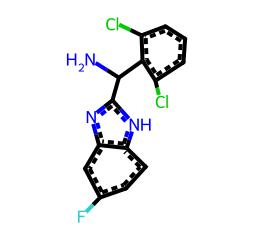 NC(c1nc2cc(F)ccc2[nH]1)c1c(Cl)cccc1Cl